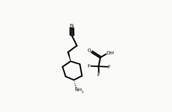 N#CCC[C@H]1CC[C@H](N)CC1.O=C(O)C(F)(F)F